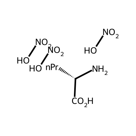 CCC[C@H](N)C(=O)O.O=[N+]([O-])O.O=[N+]([O-])O.O=[N+]([O-])O